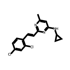 Cc1cc(NC2CC2)nc(C=Cc2ccc(Cl)cc2Cl)n1